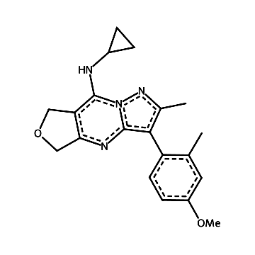 COc1ccc(-c2c(C)nn3c(NC4CC4)c4c(nc23)COC4)c(C)c1